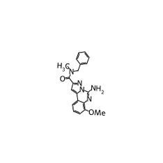 COc1cccc2c1nc(N)n1nc(C(=O)N(C)Cc3ccccc3)cc21